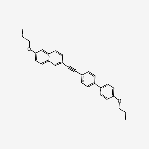 CCCOc1ccc(-c2ccc(C#Cc3ccc4cc(OCCC)ccc4c3)cc2)cc1